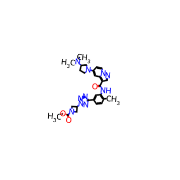 COC(=O)N1CC(n2nnc(-c3ccc(C)c(NC(=O)c4cnn5ccc(N6CC[C@@H](N(C)C)C6)cc45)c3)n2)C1